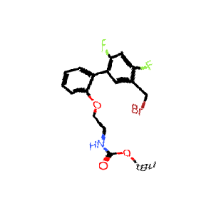 CC(C)(C)OC(=O)NCCOc1ccccc1-c1cc(CBr)c(F)cc1F